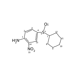 Nc1ccc([S+]([O-])C2CCCCC2)cc1[N+](=O)[O-]